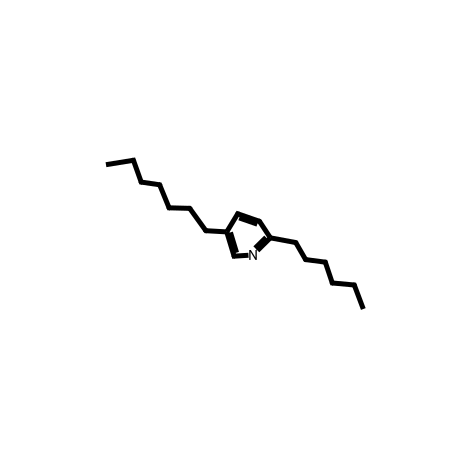 CCCCCCCc1ccc(CCCCCC)nc1